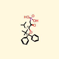 CC(C)C[C@@H](O[Si](c1ccccc1)(c1ccccc1)C(C)(C)C)C(=O)CP(=O)(O)O